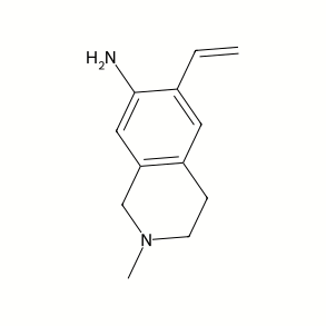 C=Cc1cc2c(cc1N)CN(C)CC2